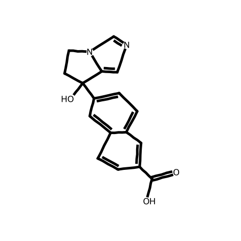 O=C(O)c1ccc2cc(C3(O)CCn4cncc43)ccc2c1